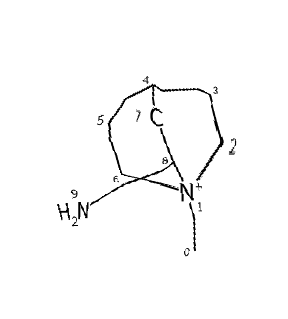 C[N+]12CCC(CC1)CC2N